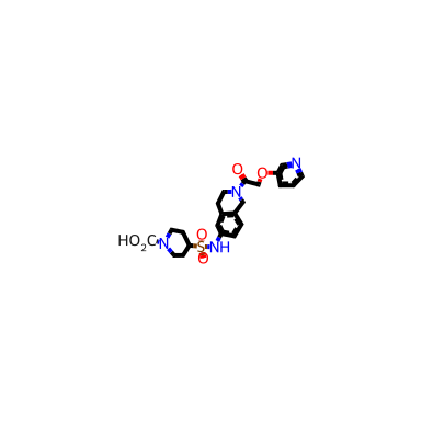 O=C(O)N1CCC(S(=O)(=O)Nc2ccc3c(c2)CCN(C(=O)COc2cccnc2)C3)CC1